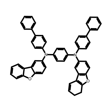 C1=Cc2c(oc3ccc(N(c4ccc(-c5ccccc5)cc4)c4ccc(N(c5ccc(-c6ccccc6)cc5)c5ccc6oc7ccccc7c6c5)cc4)cc23)CC1